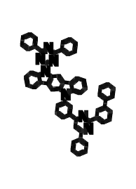 c1ccc(-c2cccc(-c3nc(-c4ccccc4)cc(-c4cccc(-n5c6ccccc6c6cc7c(cc65)c5ccccc5n7-c5nc(-c6ccccc6)nc(-c6ccccc6)n5)c4)n3)c2)cc1